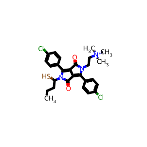 CCCC(S)N1C(=O)C2=C(c3ccc(Cl)cc3)N(CC[N+](C)(C)C)C(=O)C2=C1c1ccc(Cl)cc1